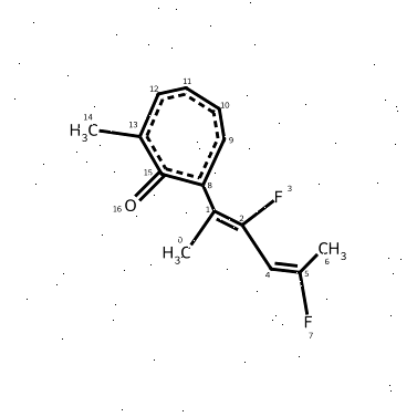 C/C(=C(F)\C=C(/C)F)c1ccccc(C)c1=O